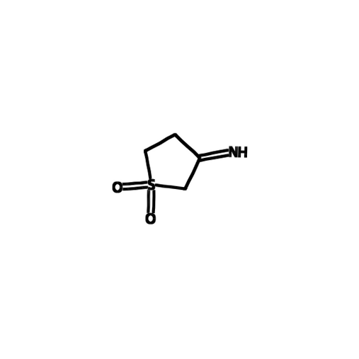 N=C1CCS(=O)(=O)C1